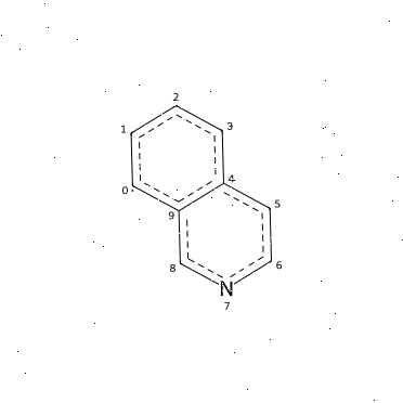 [c]1cccc2ccncc12